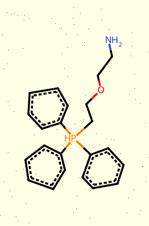 NCCOCC[PH](c1ccccc1)(c1ccccc1)c1ccccc1